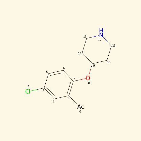 CC(=O)c1cc(Cl)ccc1OC1CCNCC1